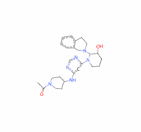 CC(=O)N1CCC(Nc2cc(N3CCCC(O)C3N3CCc4ccccc4C3)ncn2)CC1